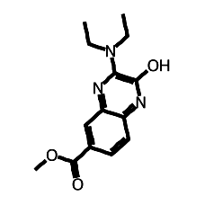 CCN(CC)c1nc2cc(C(=O)OC)ccc2nc1O